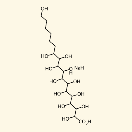 O=C(O)C(O)C(O)C(O)C(O)C(O)C(O)C(O)C(O)C(O)C(O)C(O)CCCCCCO.[NaH]